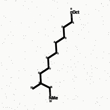 CCCCCCCCCCCCCCCCC(C)CNC